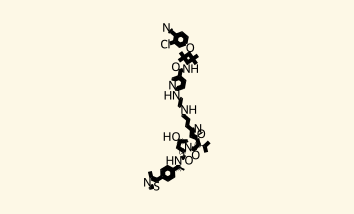 Cc1ncsc1-c1ccc([C@H](C)NC(=O)[C@@H]2C[C@@H](O)CN2C(=O)[C@H](c2cc(CCCNCCNc3ccc(C(=O)N[C@H]4C(C)(C)[C@H](Oc5ccc(C#N)c(Cl)c5)C4(C)C)cn3)no2)C(C)C)cc1